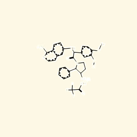 CCOc1cc(C(Nc2ccc3c(N)nccc3c2)C(=O)N2CCC(C(=O)O)C2c2ccccc2)ccc1OC(C)C.O=C(O)C(F)(F)F